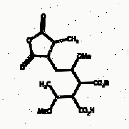 COC(C)C(C(=O)O)C(C(=O)O)C(CC1C(=O)OC(=O)C1C)OC